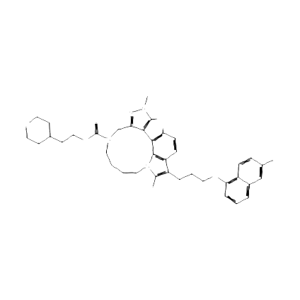 CCc1c2c(nn1C)CN(C(=O)OCCC1CCOCC1)CCCCn1c(C(=O)O)c(CCCOc3cccc4cc(F)ccc34)c3ccc(Cl)c-2c31